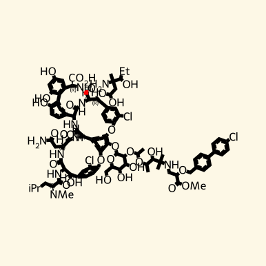 CCC(O)C(C)(N)CC(O)O[C@@H]1c2ccc(c(Cl)c2)Oc2cc3cc(c2OC2OC(CO)C(O)C(O)C2OC(C)OC(C)C(O)C(C)(C)NCC(OCc2ccc(-c4ccc(Cl)cc4)cc2)C(=O)OC)Oc2ccc(cc2Cl)[C@@H](O)C(NC(=O)[C@@H](CC(C)C)NC)C(=O)N[C@@H](CC(N)=O)C(=O)N[C@H]3C(=O)NC2C(=O)N[C@@H]1C(=O)N[C@@H](C(=O)O)c1cc(O)cc(O)c1-c1cc2ccc1O